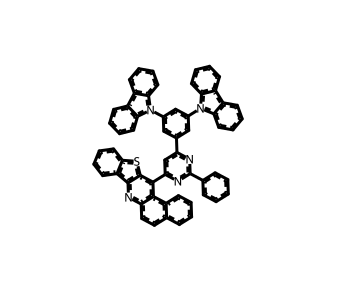 c1ccc(-c2nc(-c3cc(-n4c5ccccc5c5ccccc54)cc(-n4c5ccccc5c5ccccc54)c3)cc(-c3c4sc5ccccc5c4nc4ccc5ccccc5c34)n2)cc1